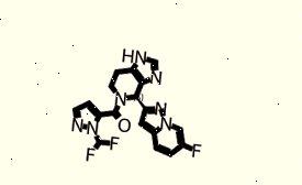 O=C(c1ccnn1C(F)F)N1CCc2[nH]cnc2[C@H]1c1cc2ccc(F)cn2n1